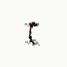 C[C@@H](OCc1ccc(CCCOCCCCCc2ccc(N(C=O)C3CCC(=O)NC3=O)c(N(C)C)c2)cc1)[C@@H](N)CCC(N)=O